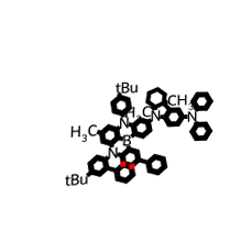 Cc1cc2c3c(c1)N(c1ccc(C(C)(C)C)cc1-c1ccccc1)c1ccc(-c4ccccc4)cc1B3c1ccc(N3c4ccc(N(c5ccccc5)c5ccccc5)cc4C4(C)CCCCC34C)cc1N2c1ccc(C(C)(C)C)cc1